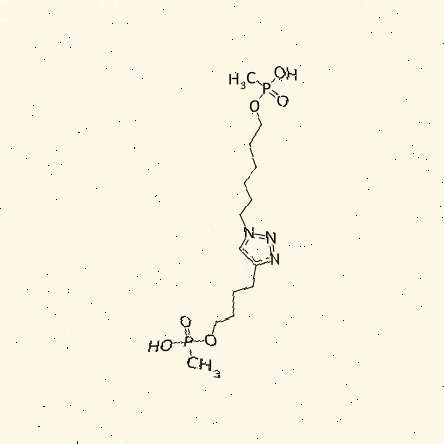 CP(=O)(O)OCCCCCCn1cc(CCCCOP(C)(=O)O)nn1